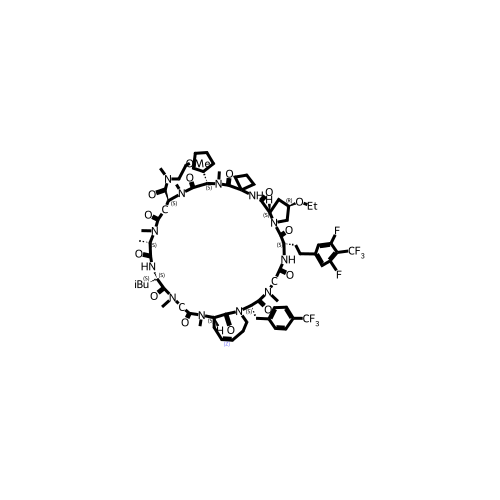 CCO[C@@H]1C[C@H]2C(=O)NC3(CCC3)C(=O)N(C)[C@@H](C3CCCC3)C(=O)N(C)[C@H](C(=O)N(C)CCOC)CC(=O)N(C)[C@@H](C)C(=O)N[C@@H]([C@@H](C)CC)C(=O)N(C)CC(=O)N(C)[C@H]3C/C=C\CCN(C3=O)[C@@H](Cc3ccc(C(F)(F)F)cc3)C(=O)N(C)CC(=O)N[C@@H](CCc3cc(F)c(C(F)(F)F)c(F)c3)C(=O)N2C1